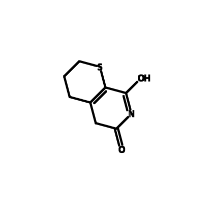 O=C1CC2=C(SCCC2)C(O)=N1